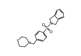 O=S(=O)(c1ccc(CN2CCSCC2)cc1)N1Cc2ccccc2C1